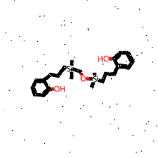 C[Si](C)(CCCc1ccccc1O)CO[Si](C)(C)CCCc1ccccc1O